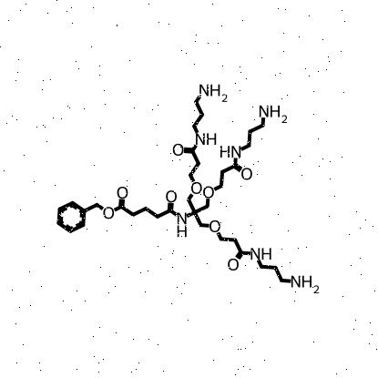 NCCCNC(=O)CCOCC(COCCC(=O)NCCCN)(COCCC(=O)NCCCN)NC(=O)CCCC(=O)OCc1ccccc1